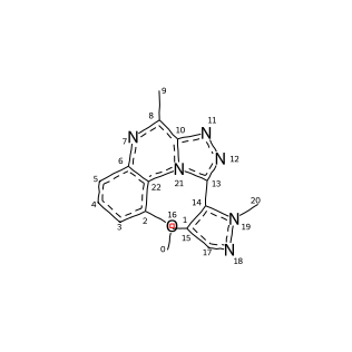 COc1cccc2nc(C)c3nnc(-c4c(C)cnn4C)n3c12